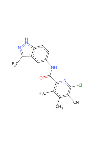 Cc1c(C(=O)Nc2ccc3[nH]nc(C(F)(F)F)c3c2)nc(Cl)c(C#N)c1C